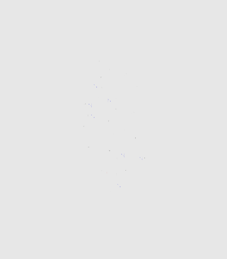 CNC(=O)c1cnc2ccc(-c3c(F)cn4nc(NC(C)C5COC5)nc(OC)c34)cn12